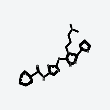 CN(C)CCCn1c(Sc2ncc(NC(=O)c3ccccc3)s2)nnc1-c1cccs1